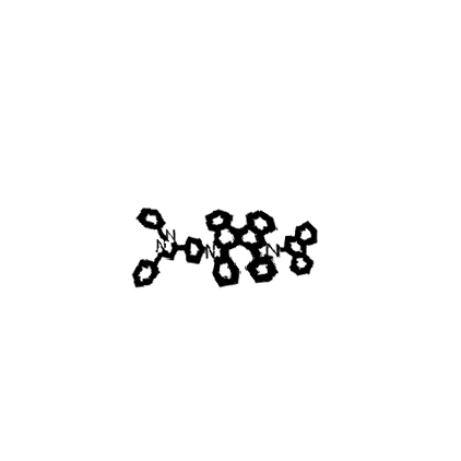 c1ccc(-c2cc(-c3ccc(-n4c5ccccc5c5c6c(c7ccccc7c54)c4ccccc4c4c6c5ccccc5n4-c4cc5ccccc5c5ccccc45)cc3)nc(-c3ccccc3)n2)cc1